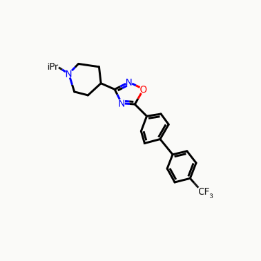 CC(C)N1CCC(c2noc(-c3ccc(-c4ccc(C(F)(F)F)cc4)cc3)n2)CC1